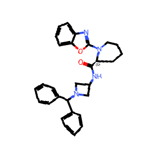 O=C(NC1CN(C(c2ccccc2)c2ccccc2)C1)[C@@H]1CCCCN1c1nc2ccccc2o1